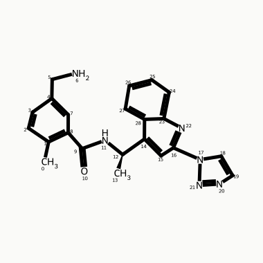 Cc1ccc(CN)cc1C(=O)N[C@H](C)c1cc(-n2ccnn2)nc2ccccc12